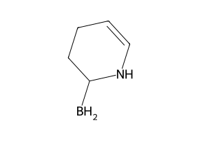 BC1CCC=CN1